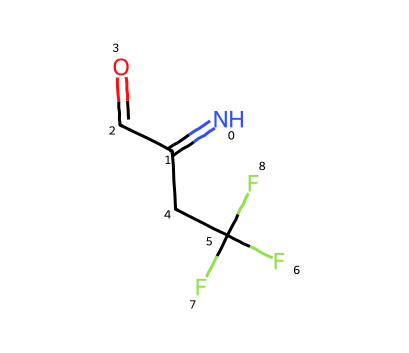 N=C(C=O)CC(F)(F)F